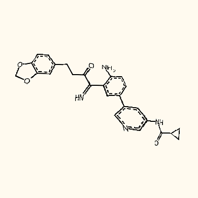 N=C(C(=O)CCc1ccc2c(c1)OCO2)c1cc(-c2cncc(NC(=O)C3CC3)c2)ccc1N